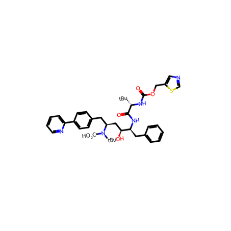 CC(C)(C)[C@H](NC(=O)OCc1cncs1)C(=O)N[C@@H](Cc1ccccc1)[C@@H](O)C[C@H](Cc1ccc(-c2ccccn2)cc1)N(C(=O)O)C(C)(C)C